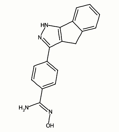 NC(=NO)c1ccc(-c2n[nH]c3c2Cc2ccccc2-3)cc1